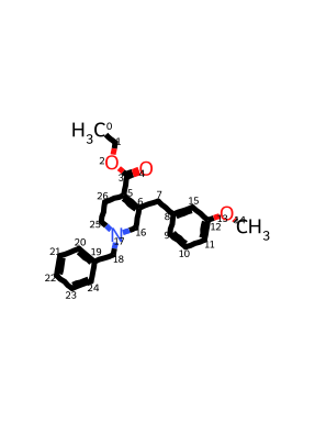 CCOC(=O)C1=C(Cc2cccc(OC)c2)CN(Cc2ccccc2)CC1